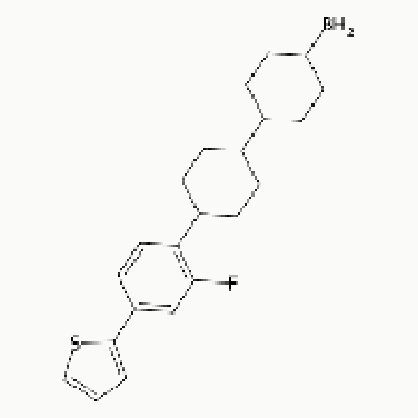 BC1CCC(C2CCC(c3ccc(-c4cccs4)cc3F)CC2)CC1